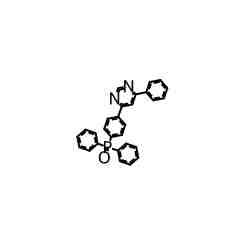 O=P(c1ccccc1)(c1ccccc1)c1ccc(-c2cc(-c3ccccc3)ncn2)cc1